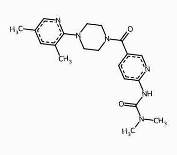 Cc1cnc(N2CCN(C(=O)c3ccc(NC(=O)N(C)C)nc3)CC2)c(C)c1